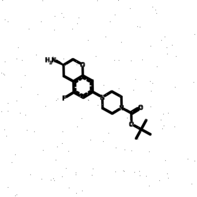 CC(C)(C)OC(=O)N1CCN(c2cc(F)c3c(c2)OC[C@H](N)C3)CC1